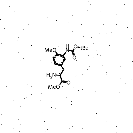 COC(=O)[C@@H](N)Cc1ccc(OC)c(NC(=O)OC(C)(C)C)c1